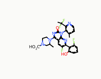 Cc1ccnc(C(C)(F)F)c1-n1c(=O)nc(N2CCN(C(=O)O)CC2C)c2cc(F)c(-c3c(O)cccc3F)nc21